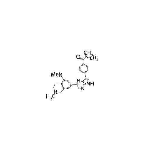 CNc1cc(-c2cnc3[nH]cc(-c4ccc(C(=O)N(C)C)cc4)c3n2)cc2c1CCN(C)C2